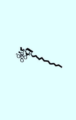 CCCCCCCCCCCN1C=CN(CC)C1OP(=O)(OC)OC